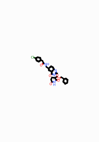 Cc1nc2ccc(CNC(=O)Cc3ccc(Cl)cc3)cc2c(=O)n1[C@@]1(C(=O)OCc2ccccc2)CCC(=O)NC1=O